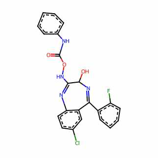 O=C(Nc1ccccc1)ONC1=Nc2ccc(Cl)cc2C(c2ccccc2F)=NC1O